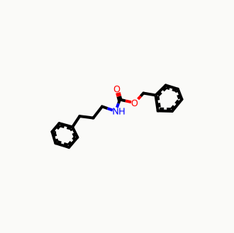 O=C(NCCCc1ccccc1)OCc1ccccc1